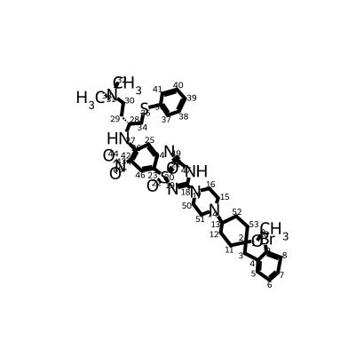 COC1(Cc2ccccc2Br)CCC(N2CCN(/C(=N/S(=O)(=O)c3ccc(N[C@H](CCN(C)C)CSc4ccccc4)c([N+](=O)[O-])c3)NC#N)CC2)CC1